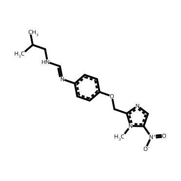 CC(C)CN/C=N/c1ccc(OCc2ncc([N+](=O)[O-])n2C)cc1